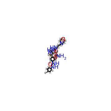 Cc1ccc(NC(=O)Nc2ccc(-c3snc(NC(=O)NCCCN4CCOCC4)c3OC(N)=O)cc2)cc1